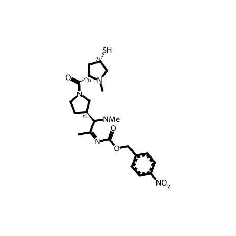 CNC(C(C)=NC(=O)OCc1ccc([N+](=O)[O-])cc1)[C@H]1CCN(C(=O)[C@@H]2C[C@H](S)CN2C)C1